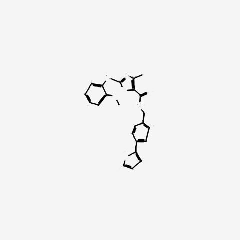 COc1ccccc1Nc1nc(C)c(C(=O)NCc2ccc(-c3cccs3)cc2)s1